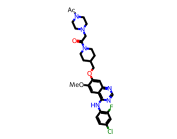 COc1cc2c(Nc3ccc(Cl)cc3F)ncnc2cc1OCC1CCN(C(=O)CN2CCN(C(C)=O)CC2)CC1